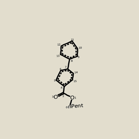 CCCCCOC(=O)c1ccc(-c2ccccc2)cc1